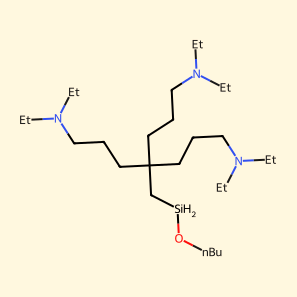 CCCCO[SiH2]CC(CCCN(CC)CC)(CCCN(CC)CC)CCCN(CC)CC